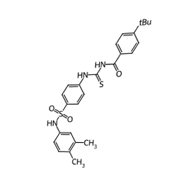 Cc1ccc(NS(=O)(=O)c2ccc(NC(=S)NC(=O)c3ccc(C(C)(C)C)cc3)cc2)cc1C